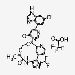 C[C@@H]1CCC[C@H](n2cnc(-c3cc(Cl)cc4[nH]cnc34)cc2=O)c2cc(ccn2)-c2c(cnn2C(F)F)NC1=O.O=C(O)C(F)(F)F